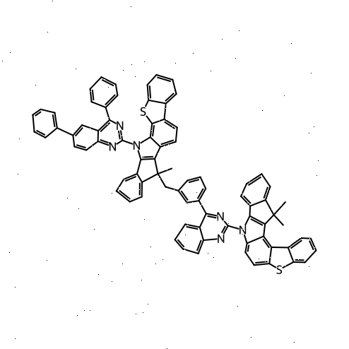 CC1(C)c2ccccc2-c2c1c1c3c(ccc1n2-c1nc(-c2cccc(CC4(C)c5ccccc5-c5c4c4ccc6c7ccccc7sc6c4n5-c4nc(-c5ccccc5)c5cc(-c6ccccc6)ccc5n4)c2)c2ccccc2n1)sc1ccccc13